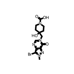 Cn1nc2c(=O)n(CC3(O)CCN(C(=O)O)CC3)cnc2c1Br